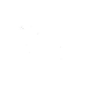 CCCCCCCCc1p[nH]cc1C